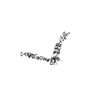 O=[N+]([O-])[O-].O=[N+]([O-])[O-].[Co+2].[Co+2].[Co+2].[Co+2].[Co+2].[Co+2].[Co+2].[OH-].[OH-].[OH-].[OH-].[OH-].[OH-].[OH-].[OH-].[OH-].[OH-].[OH-].[OH-]